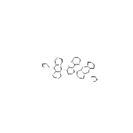 c1coc(-c2c3ccccc3c(-c3cccc4c3sc3cccc(-c5c6ccccc6c(-c6ccco6)c6ccccc56)c34)c3ccccc23)c1